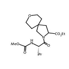 CCOC(=O)C1CC2(CCOCC2)CN1C(=O)[C@@H](NC(=O)OC)C(C)C